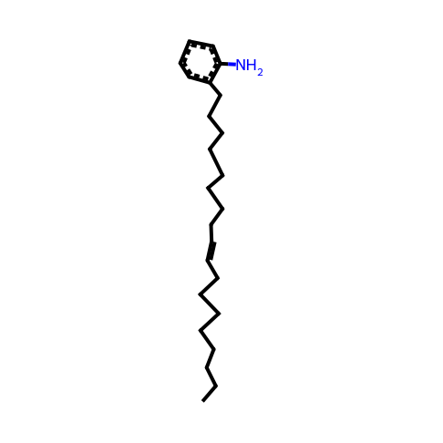 CCCCCCCCC=CCCCCCCCCc1ccccc1N